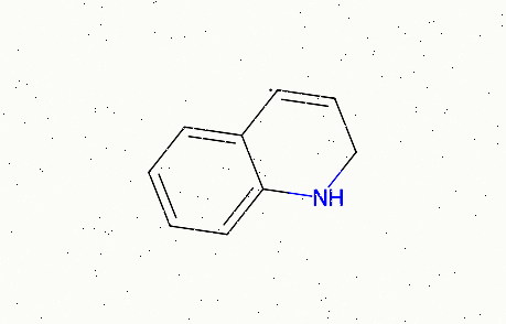 [C]1=CCNc2ccccc21